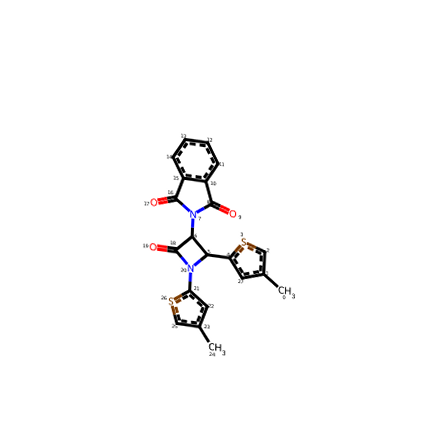 Cc1csc(C2C(N3C(=O)c4ccccc4C3=O)C(=O)N2c2cc(C)cs2)c1